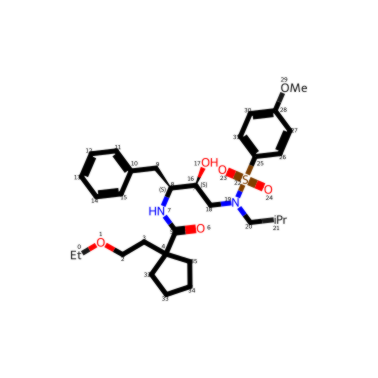 CCOCCC1(C(=O)N[C@@H](Cc2ccccc2)[C@@H](O)CN(CC(C)C)S(=O)(=O)c2ccc(OC)cc2)CCCC1